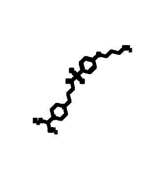 CCCCOc1ccc(S(=O)(=O)NCCCN2CCN(C(C)C)CC2)cc1